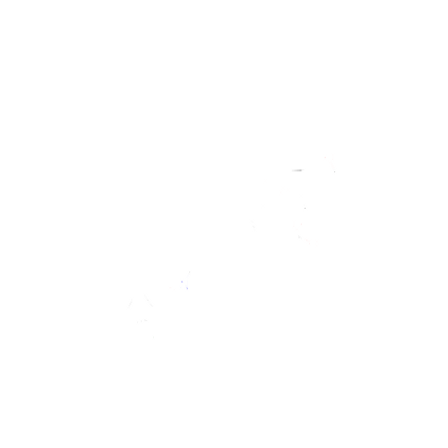 CC(=O)OC[C@H]1OC(OC2CC[C@@]3(C)C(=CCC4C3CC[C@@]3(C)C4CC[C@@H]3/C(C)=N/OCc3ccccc3Cl)C2)C=C[C@@H]1OC(C)=O